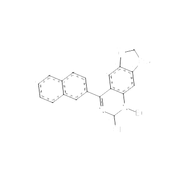 CCN1c2cc3c(cc2C(c2ccc4ccccc4c2)=NC1O)OCO3